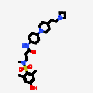 Cc1cc(O)cc(C)c1S(=O)(=O)N(C)CCC(=O)N[C@H]1CC[C@H](N2CCC(CCN3CCC3)CC2)CC1